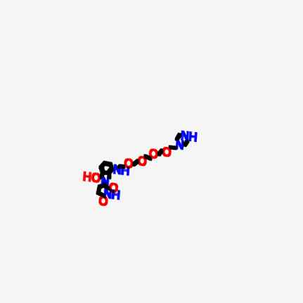 O=C1CCC(N2Cc3c(NCCOCCOCCOCCOCCN4CCNCC4)cccc3C2O)C(=O)N1